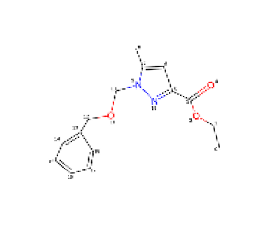 CCOC(=O)c1cc(C)n(COCc2ccccc2)n1